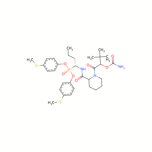 CCC[C@H](NC(=O)C1CCCCN1C(=O)C(OC(N)=O)C(C)(C)C)P(=O)(Oc1ccc(SC)cc1)Oc1ccc(SC)cc1